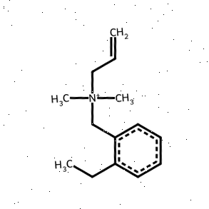 C=CC[N+](C)(C)Cc1ccccc1CC